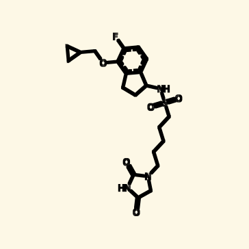 O=C1CN(CCCCCS(=O)(=O)NC2CCc3c2ccc(F)c3OCC2CC2)C(=O)N1